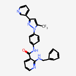 O=C(Nc1ccc(-n2nc(-c3cccnc3)cc2C(F)(F)F)cc1)c1cccnc1NCc1ccccc1